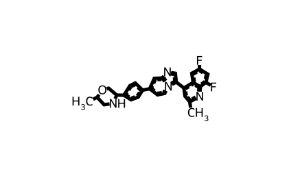 Cc1cc(-c2cnc3cc(-c4ccc(C5COC(C)CN5)cc4)ccn23)c2cc(F)cc(F)c2n1